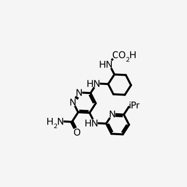 CC(C)c1cccc(Nc2cc(NC3CCCCC3NC(=O)O)nnc2C(N)=O)n1